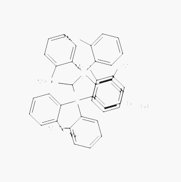 Br.Br.CCC([PH](c1ccccc1OC)(c1ccccc1OC)c1ccccc1OC)[PH](c1ccccc1OC)(c1ccccc1OC)c1ccccc1OC